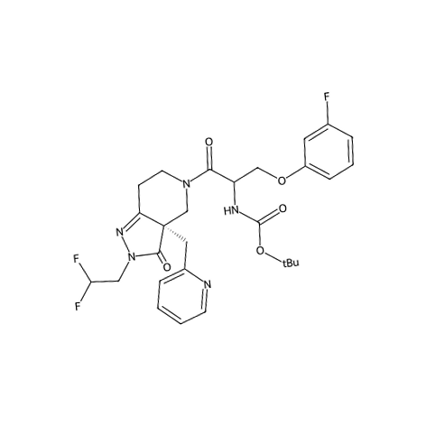 CC(C)(C)OC(=O)NC(COc1cccc(F)c1)C(=O)N1CCC2=NN(CC(F)F)C(=O)[C@]2(Cc2ccccn2)C1